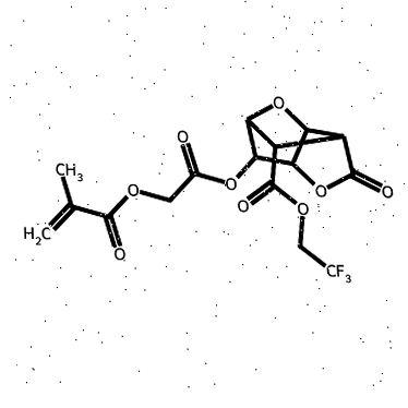 C=C(C)C(=O)OCC(=O)OC1C2OC(=O)C3C2OC1C3C(=O)OCC(F)(F)F